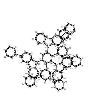 c1ccc(-c2ccc3c(c2)c2ccccc2n3-c2cc(-n3c4ccccc4c4cc(-c5ccccc5)ccc43)c(-c3cc(-c4ccccc4)nc(-c4ccccc4)n3)c(-n3c4ccccc4c4ccccc43)c2-c2cc(-c3ccccc3)nc(-c3ccccc3)n2)cc1